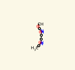 C#COc1ccc(-c2nnc(-c3ccc(-c4ccc(-c5nnc(-c6ccc(C)cc6)o5)cc4)cc3)o2)cc1